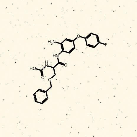 Nc1cc(Oc2ccc(F)cc2)ccc1NC(=O)C(COCc1ccccc1)NC(=O)O